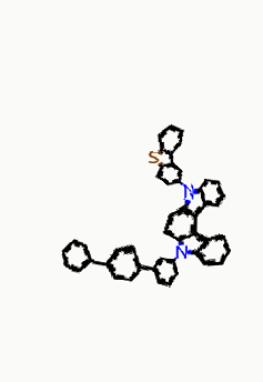 c1ccc(-c2ccc(-c3cccc(-n4c5ccccc5c5c6c7ccccc7n(-c7ccc8sc9ccccc9c8c7)c6ccc54)c3)cc2)cc1